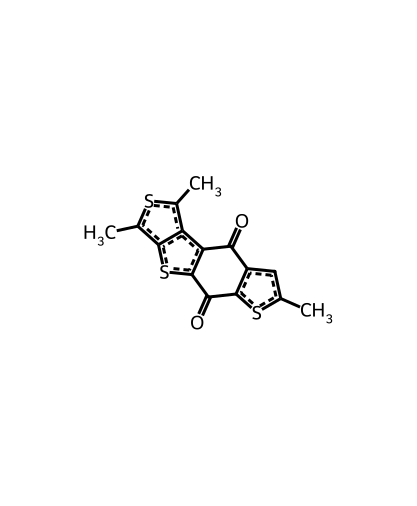 Cc1cc2c(s1)C(=O)c1sc3c(C)sc(C)c3c1C2=O